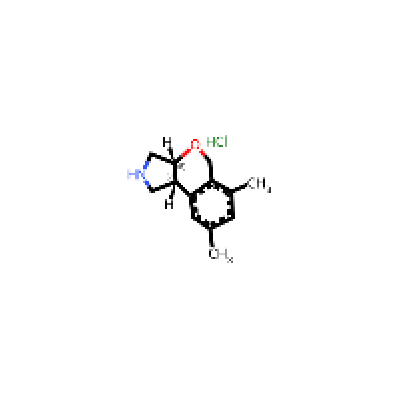 Cc1cc(C)c2c(c1)[C@@H]1CNC[C@@H]1OC2.Cl